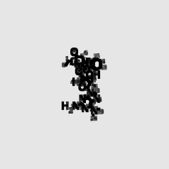 CCOC(=O)[C@H](C)NP(=S)(Oc1ccccc1)OC1[C@H]2O[C@@H](n3cnc4c(N(C)C)nc(N)nc43)[C@](C)(F)[C@@]12O